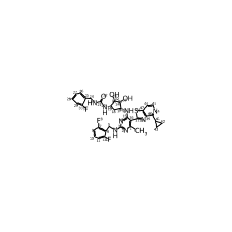 Cc1nc(NCc2c(F)cccc2F)nc(N[C@@H]2C[C@H](NC(=O)NCc3ccccc3F)[C@@H](O)[C@H]2O)c1-c1nc2c(C3CC3)nccc2s1